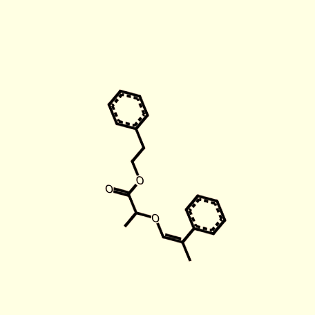 CC(=COC(C)C(=O)OCCc1ccccc1)c1ccccc1